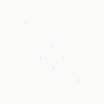 CC(C)(c1cc(NC(=O)Nc2ccc(Br)cc2F)no1)C(F)(F)F